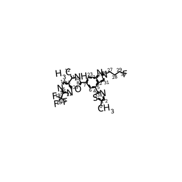 Cc1cnc(-c2cc(C(=O)NC(C)c3cnc(C(F)(F)F)nc3)cc3nn(CCCF)cc23)s1